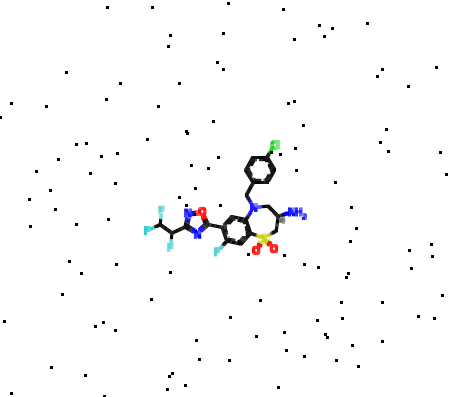 N[C@@H]1CN(Cc2ccc(Cl)cc2)c2cc(-c3nc(C(F)C(F)F)no3)c(F)cc2S(=O)(=O)C1